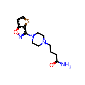 NC(=O)CCCN1CCN(c2noc3ccsc23)CC1